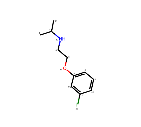 CC(C)NCCOc1cccc(F)c1